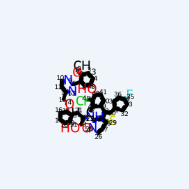 COc1ccccc1-c1nccc(COc2ccccc2CC(Nc2nccc3sc(-c4ccc(F)cc4)c(-c4ccc(O)c(Cl)c4C)c23)C(=O)O)n1